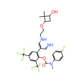 CN(C(=O)Oc1c(/C(C=N)=C/NCCOC2CC(O)C2(C)C)cc(C(F)(F)F)cc1C(F)(F)F)c1ccc(F)cc1